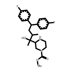 CC(CC(c1ccc(F)cc1)c1ccc(F)cc1)C(C)(O)C1CN(C(=O)OC(C)(C)C)CCN1